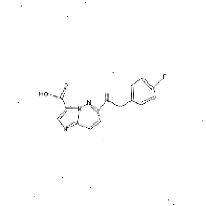 O=C(O)c1cnc2ccc(NCc3ccc(F)cc3)nn12